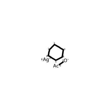 C1CCCCC1.CC(=O)[O-].[Ag+]